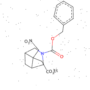 CCOC(=O)CC1(C[N+](=O)[O-])C2CC1CN(C(=O)OCc1ccccc1)C2